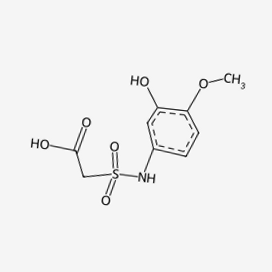 COc1ccc(NS(=O)(=O)CC(=O)O)cc1O